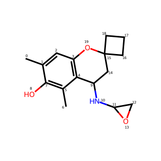 Cc1cc2c(c(C)c1O)C(NC1CO1)CC1(CCC1)O2